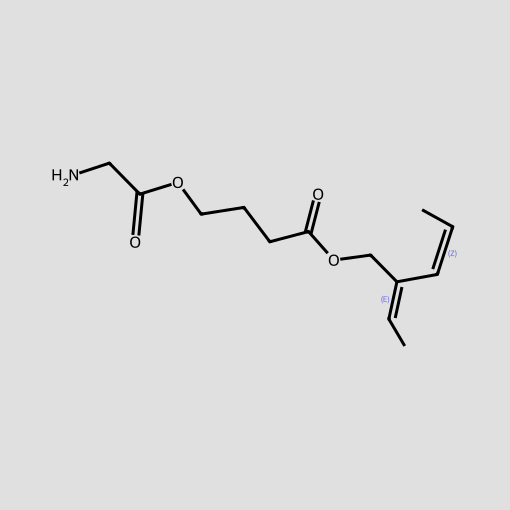 C/C=C\C(=C/C)COC(=O)CCCOC(=O)CN